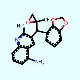 Cc1nc2cccc(N)c2cc1C(c1cccc2c1OCO2)C1(C(F)(F)F)CO1